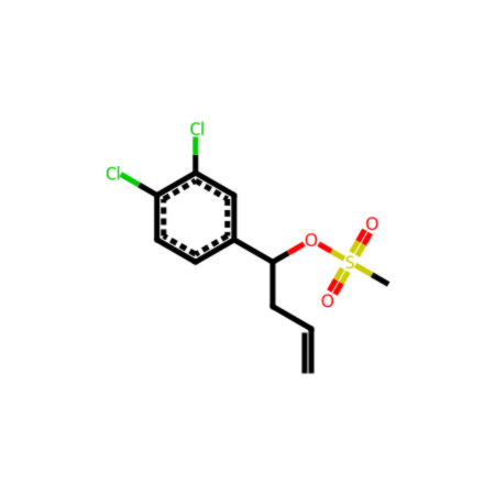 C=CCC(OS(C)(=O)=O)c1ccc(Cl)c(Cl)c1